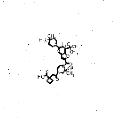 CC1(C)CCC(c2cc(C(C)(C)C)c3oc(C(=O)N4CCN(C(=O)CC5(C(=O)O)CCC5)CC4(C)C)cc3n2)CC1